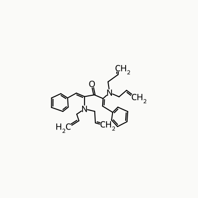 C=CCN(CC=C)C(=Cc1ccccc1)C(=O)C(=Cc1ccccc1)N(CC=C)CC=C